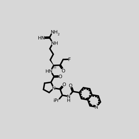 CC(C)C(NC(=O)c1ccc2ccncc2c1)C(=O)N1CCCC1C(=O)N[C@@H](CCCNC(=N)N)C(=O)CF